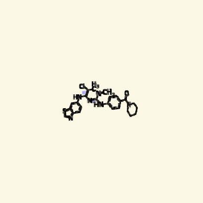 C=N/C(=N\C(Nc1ccc2ncsc2c1)=C(/C)Cl)Nc1ccc(C(=O)N2CCCCC2)cc1